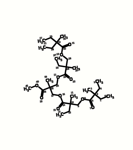 CCC(C)(CC)C(=O)OCC(C)(CC)C(=O)OCC(C)(COC(=O)C(C)(CC)COC(=O)C(C)(CC)CC)C(=O)OC